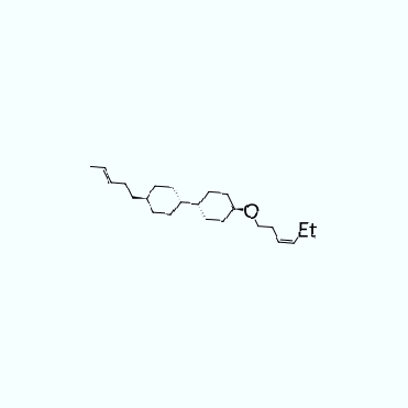 C/C=C/CC[C@H]1CC[C@H]([C@H]2CC[C@H](OCC/C=C\CC)CC2)CC1